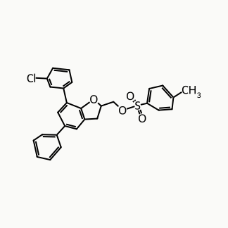 Cc1ccc(S(=O)(=O)OCC2Cc3cc(-c4ccccc4)cc(-c4cccc(Cl)c4)c3O2)cc1